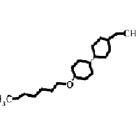 CCCCCCCO[C@H]1CC[C@H](C2CCC(CC)CC2)CC1